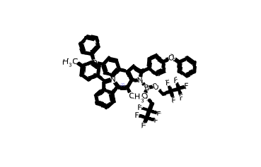 C/C(=C1/N=C(c2ccc(C)cc2)c2ccccc21)c1c(-c2ccc(Oc3ccccc3)cc2)cc(-c2ccc(Oc3ccccc3)cc2)n1B(OCC(F)(F)C(F)(F)F)OCC(F)(F)C(F)(F)F